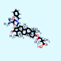 CC(C)C1=C2[C@H]3CC[C@@H]4[C@@]5(C)CC[C@H](OC(=O)CC(C)(C)C(=O)O)C(C)(C)[C@H]5CC[C@@]4(C)[C@]3(C)CC[C@@]2(CCN(Cc2ccccc2)C(=O)C(=O)N(C)C)CC1=O